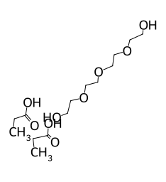 CCC(=O)O.CCC(=O)O.OCCOCCOCCOCCO